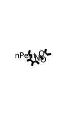 C=CCC(=C)C(=C)C(=C)N(CCCCC)C(=O)OC(=C)C=C